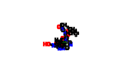 COc1cc(C(=O)Nc2cccc(-c3nccc(-c4ccc(CN(C(=O)OC(C)(C)C)C5CCN(C(C)=O)CC5)c(OC)n4)c3Cl)c2C)ncc1CNCCO